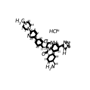 CN1CCN(c2ccc(-c3ccc(C[C@@H](C(N)=O)N(c4ccc(-c5nnn[nH]5)cc4)C(=O)[C@H]4CC[C@H](CN)CC4)cc3)cn2)CC1.Cl